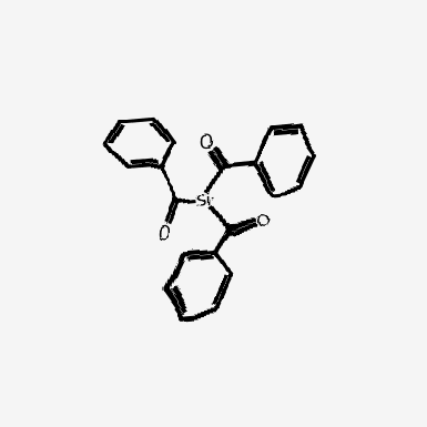 O=C(c1ccccc1)[Si](C(=O)c1ccccc1)C(=O)c1ccccc1